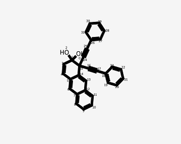 OC1(O)C=Cc2cc3ccccc3cc2C1(C#Cc1ccccc1)C#Cc1ccccc1